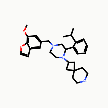 COc1cc(CN2CCN(C3CC4(CCNCC4)C3)C(c3ccccc3C(C)C)C2)cc2ccoc12